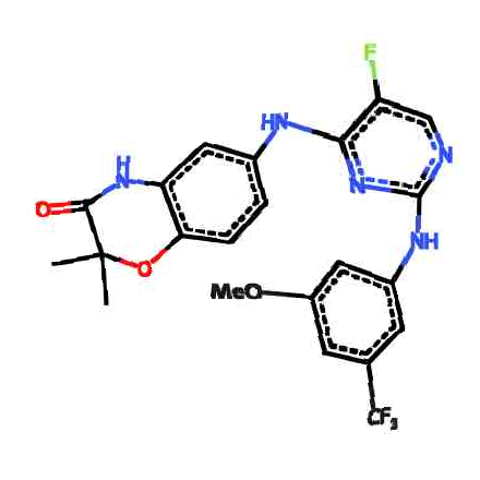 COc1cc(Nc2ncc(F)c(Nc3ccc4c(c3)NC(=O)C(C)(C)O4)n2)cc(C(F)(F)F)c1